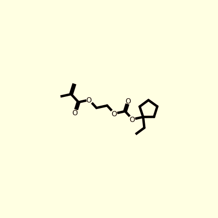 C=C(C)C(=O)OCCOC(=O)OC1(CC)CCCC1